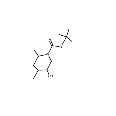 CC1CC(C)N(C(=O)OC(C)(C)C)CC1O